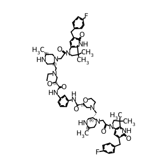 C[C@@H]1CN(CC(=O)N2CC(C)(C)c3[nH]c(=O)c(Cc4ccc(F)cc4)cc32)[C@@H](CN2CCO[C@H](C(=O)Nc3cccc(NC(=O)[C@@H]4CN(C[C@H]5CN[C@H](C)CN5CC(=O)N5CC(C)(C)c6[nH]c(=O)c(Cc7ccc(F)cc7)cc65)CCO4)c3)C2)CN1